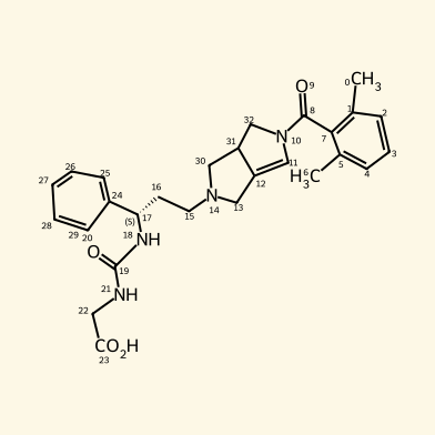 Cc1cccc(C)c1C(=O)N1C=C2CN(CC[C@H](NC(=O)NCC(=O)O)c3ccccc3)CC2C1